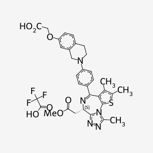 COC(=O)C[C@@H]1N=C(c2ccc(N3CCc4ccc(OCC(=O)O)cc4C3)cc2)c2c(sc(C)c2C)-n2c(C)nnc21.O=C(O)C(F)(F)F